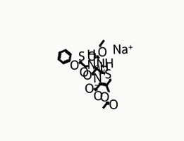 CCOC(=O)N[C@@]1(NC(=O)C(=S)Oc2ccccc2)C(=O)N2C(C(=O)[O-])=C(COC(C)=O)CS[C@@H]21.[Na+]